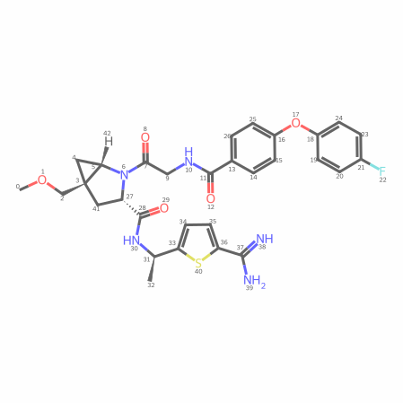 COC[C@@]12C[C@@H]1N(C(=O)CNC(=O)c1ccc(Oc3ccc(F)cc3)cc1)[C@H](C(=O)N[C@H](C)c1ccc(C(=N)N)s1)C2